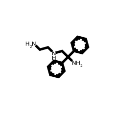 NCCNCC(N)(c1ccccc1)c1ccccc1